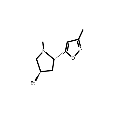 CC[C@@H]1C[C@@H](c2cc(C)no2)N(C)C1